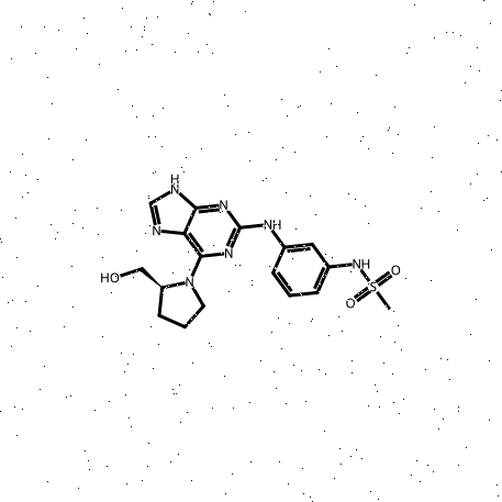 CS(=O)(=O)Nc1cccc(Nc2nc(N3CCC[C@H]3CO)c3nc[nH]c3n2)c1